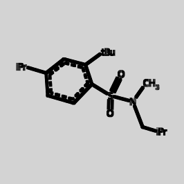 CC(C)CN(C)S(=O)(=O)c1ccc(C(C)C)cc1C(C)(C)C